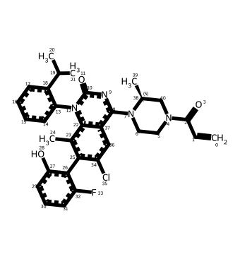 C=CC(=O)N1CCN(c2nc(=O)n(-c3ccccc3C(C)C)c3c(C)c(-c4c(O)cccc4F)c(Cl)cc23)[C@@H](C)C1